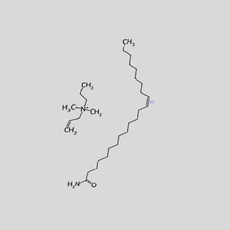 C=CC[N+](C)(C)CCC.CCCCCCCC/C=C\CCCCCCCCCCCC(N)=O